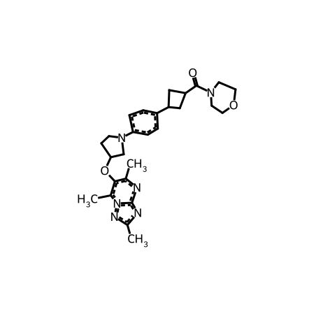 Cc1nc2nc(C)c(OC3CCN(c4ccc(C5CC(C(=O)N6CCOCC6)C5)cc4)C3)c(C)n2n1